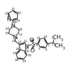 CC(C)c1ccc(S(=O)(=O)n2cc(CN3CCN(c4ccccn4)CC3)c3ccccc32)cc1